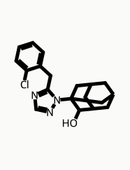 OC1C2CC3CC(C2)CC1(n1ncnc1Cc1ccccc1Cl)C3